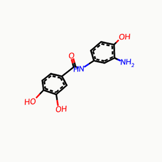 Nc1cc(NC(=O)c2ccc(O)c(O)c2)ccc1O